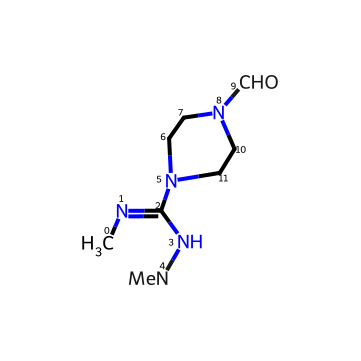 CN=C(NNC)N1CCN(C=O)CC1